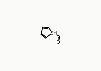 O=C[SH]1[C]=CC=C1